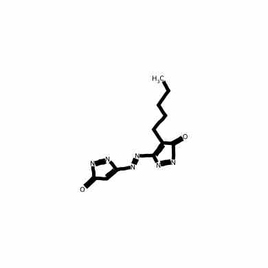 CCCCCC1=C(N=NC2=CC(=O)N=N2)N=NC1=O